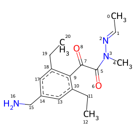 CC=NN(C)C(=O)C(=O)c1c(CC)cc(CN)cc1CC